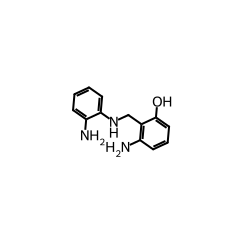 Nc1ccccc1NCc1c(N)cccc1O